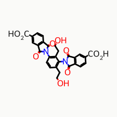 O=C(O)c1ccc2c(c1)C(=O)N(c1ccc(CCO)c(N3C(=O)c4ccc(C(=O)O)cc4C3=O)c1CCO)C2=O